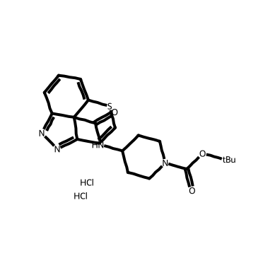 CC(C)(C)OC(=O)N1CCC(NC(=O)C23C4=CC=CC2=NN=C3C=CS4)CC1.Cl.Cl